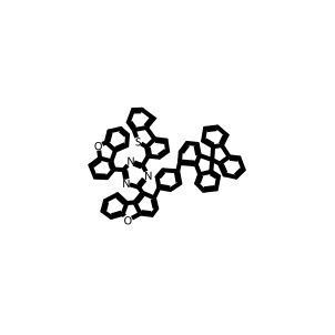 c1ccc2c(c1)-c1ccccc1C21c2ccccc2-c2c(-c3ccc(-c4ccc5oc6ccccc6c5c4-c4nc(-c5cccc6c5sc5ccccc56)nc(-c5cccc6oc7ccccc7c56)n4)cc3)cccc21